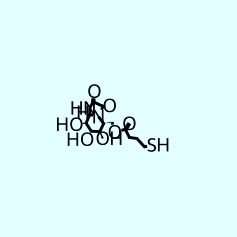 O=C(CCCS)OC[C@@H]1[C@@H](O)[C@H](O)[C@H](O)[C@H]2NC(=O)C(=O)N12